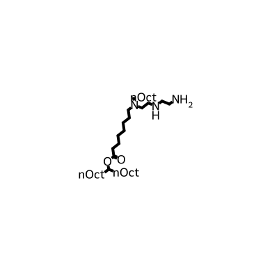 CCCCCCCCC(CCCCCCCC)OC(=O)CCCCCCCN(CCCCCCCC)CCNCCN